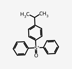 CC(C)c1ccc([S+](=O)(c2ccccc2)c2ccccc2)cc1